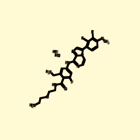 CCc1cc(Nc2nccn3c(-c4ccc(OC)c(F)c4F)cnc23)cc(F)c1C(=O)NCCOCCN.Cl.Cl